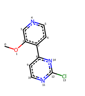 COc1cnccc1-c1ccnc(Cl)n1